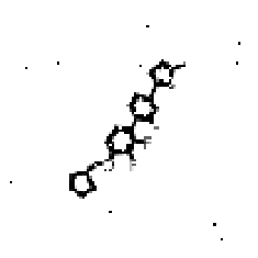 Cc1ccc(-c2ccc(-c3ccc(OCC4CCCC4)c(F)c3F)c(F)c2)s1